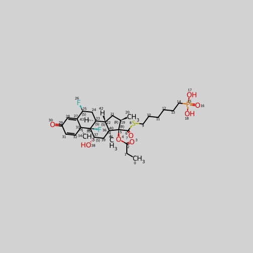 CCC(=O)O[C@]1(C(=O)SCCCCCCP(=O)(O)O)[C@H](C)C[C@H]2[C@@H]3C[C@H](F)C4=CC(=O)C=C[C@]4(C)[C@@]3(F)[C@@H](O)C[C@@]21C